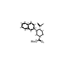 C=C(C)[C@@H]1CC[C@@H](C(=O)OC)C[C@H]1c1ccc2ccccc2c1